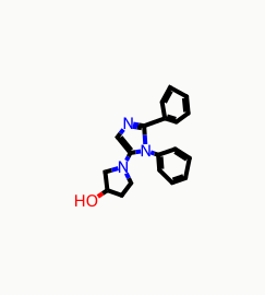 OC1CCN(c2cnc(-c3ccccc3)n2-c2ccccc2)C1